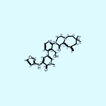 C=C1/C=C2/C(=O)N(c3nccc(-c4cc(Nc5ccon5)c(=O)n(C)c4)c3CO)CCN2CCC(C)(C)C1